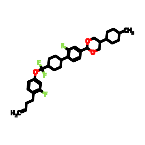 C=CCCc1ccc(OC(F)(F)C2CCC(c3ccc(C4OCC(C5CCC(C)CC5)CO4)cc3F)CC2)cc1F